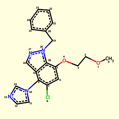 COCCOc1cc(Cl)c(-n2ccnc2)c2cnn(Cc3ccccc3)c12